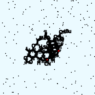 C=CCOc1c(C)c2c(c3c1[C@H]1SC[C@]4(NCCc5cc(OC(=O)OC(C)(C)C)c(OC)cc54)C(=O)OC[C@@H]3N3C1[C@H]1c4c(cc(C)c(OC)c4OCC=C)C[C@@H]([C@@H]3C#N)N1C)OCO2